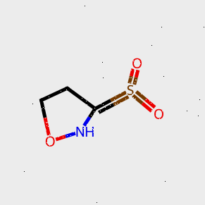 O=S(=O)=C1CCON1